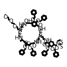 C=C1NCCN(CCOCCOCCOC)CCNC(O)c2ccc(c(OCc3ccccc3)c2OCc2ccccc2)C(=O)NCCN(CCNC(=O)C2=C(OCc3ccccc3)C(OCc3ccccc3)C(C(=O)N3CCSC3=S)CC2)CCNC(=O)c2ccc1c(OCc1ccccc1)c2OCc1ccccc1